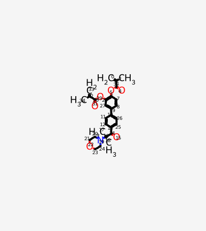 C=C(C)C(=O)Oc1ccc(-c2ccc(C(=O)C(C)(C)N3CCOCC3)cc2)cc1OC(=O)C(=C)C